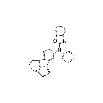 c1ccc(N(c2ccc3c(c2)-c2cccc4cccc-3c24)c2nc3ccccc3o2)cc1